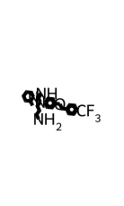 CC1CCCCN1C(=N)N(CCCN)c1ccc(OCc2ccc(C(F)(F)F)cc2)cc1